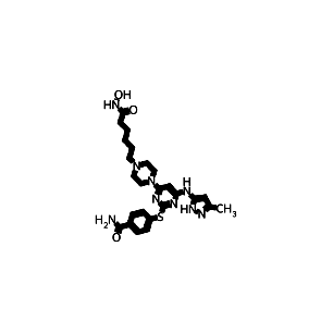 Cc1cc(Nc2cc(N3CCN(CCCCCC(=O)NO)CC3)nc(Sc3ccc(C(N)=O)cc3)n2)[nH]n1